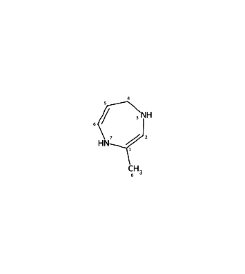 CC1=CNCC=CN1